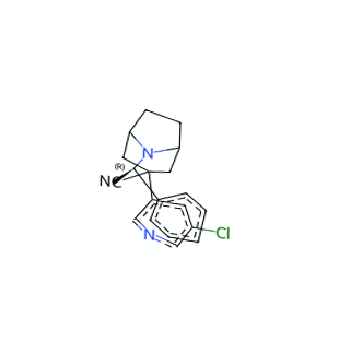 C[C@H](c1ccccc1)N1C2CCC1CC(C#N)(c1cncc(Cl)c1)C2